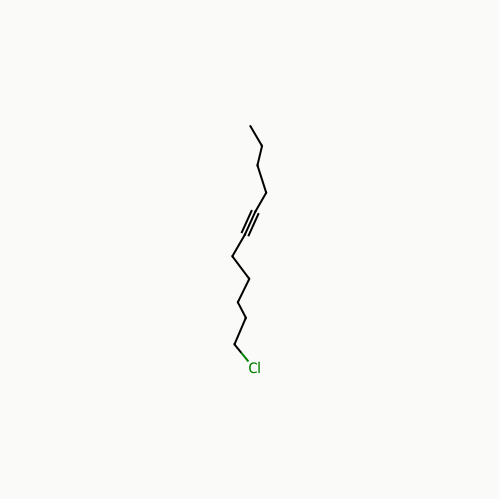 CCCCC#CCCCCCCl